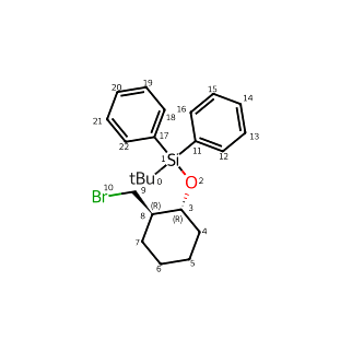 CC(C)(C)[Si](O[C@@H]1CCCC[C@H]1CBr)(c1ccccc1)c1ccccc1